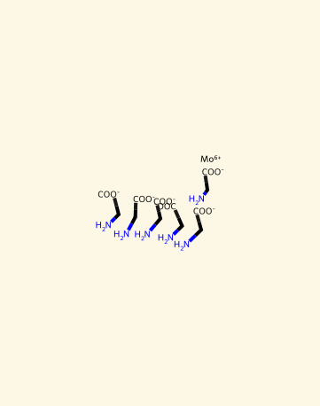 NCC(=O)[O-].NCC(=O)[O-].NCC(=O)[O-].NCC(=O)[O-].NCC(=O)[O-].NCC(=O)[O-].[Mo+6]